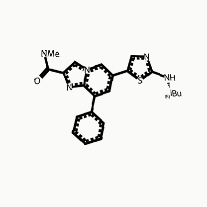 CC[C@@H](C)Nc1ncc(-c2cc(-c3ccccc3)c3nc(C(=O)NC)cn3c2)s1